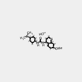 COc1ccc2c(NC(=O)Nc3ccc(N(C)C)cc3)ccnc2c1.Cl